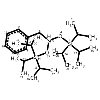 CC(C)[Si](O[SiH](Cc1ccccc1)O[Si](C(C)C)(C(C)C)C(C)C)(C(C)C)C(C)C